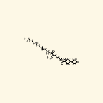 NCCCNCCCCNCCCNC(=O)C(N)CCCCNC(=O)c1ccc(-c2ccccc2)cc1